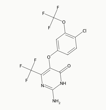 Nc1nc(C(F)(F)F)c(Oc2ccc(Cl)c(OC(F)(F)F)c2)c(=O)[nH]1